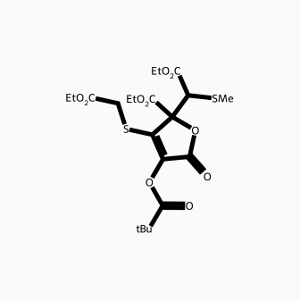 CCOC(=O)CSC1=C(OC(=O)C(C)(C)C)C(=O)OC1(C(=O)OCC)C(SC)C(=O)OCC